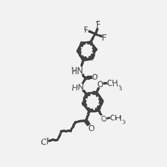 COc1cc(OC)c(C(=O)CCCCCl)cc1NC(=O)Nc1ccc(C(F)(F)F)cc1